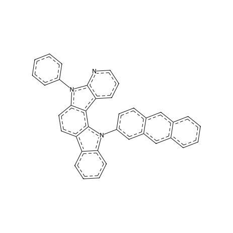 c1ccc(-n2c3ccc4c5ccccc5n(-c5ccc6cc7ccccc7cc6c5)c4c3c3cccnc32)cc1